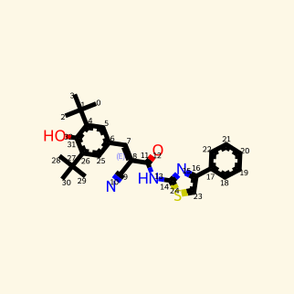 CC(C)(C)c1cc(/C=C(\C#N)C(=O)Nc2nc(-c3ccccc3)cs2)cc(C(C)(C)C)c1O